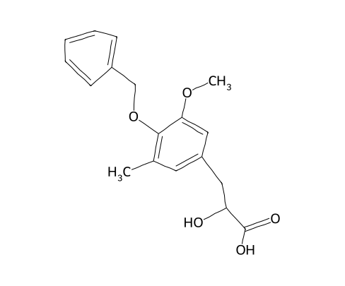 COc1cc(CC(O)C(=O)O)cc(C)c1OCc1ccccc1